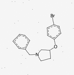 Brc1ccc(OC2CCN(Cc3ccccc3)C2)cc1